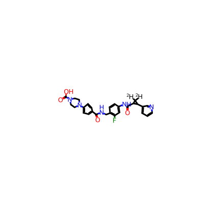 [2H]C1([2H])C(C(=O)Nc2ccc(CNC(=O)c3ccc(N4CCN(C(=O)O)CC4)cc3)c(F)c2)C1c1cccnc1